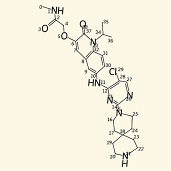 CNC(=O)COc1cc2cc(Nc3nc(N4CCC5(CCNCC5)CC4)ncc3Cl)ccc2n(C(C)C)c1=O